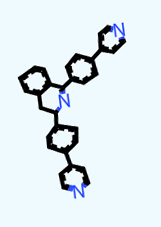 c1ccc2c(c1)CC(c1ccc(-c3ccncc3)cc1)N=C2c1ccc(-c2ccncc2)cc1